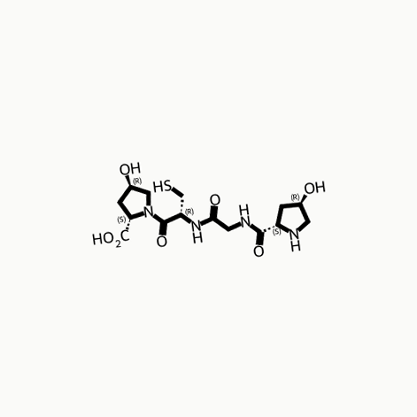 O=C(CNC(=O)[C@@H]1C[C@@H](O)CN1)N[C@@H](CS)C(=O)N1C[C@H](O)C[C@H]1C(=O)O